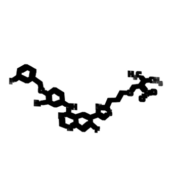 CC(C)C(COCCCc1nc(-c2cc3c(Nc4ccc(OCc5cccc(F)c5)c(Br)c4)ncnc3cc2F)cs1)=S(=O)=O